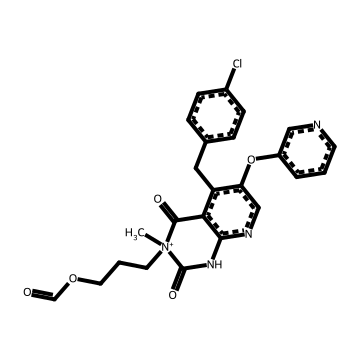 C[N+]1(CCCOC=O)C(=O)Nc2ncc(Oc3cccnc3)c(Cc3ccc(Cl)cc3)c2C1=O